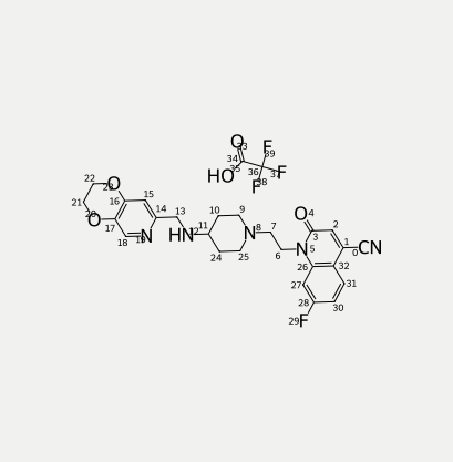 N#Cc1cc(=O)n(CCN2CCC(NCc3cc4c(cn3)OCCO4)CC2)c2cc(F)ccc12.O=C(O)C(F)(F)F